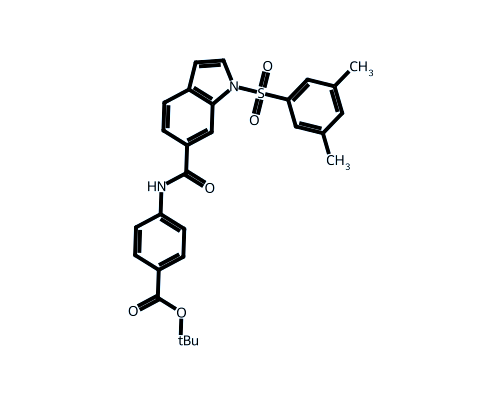 Cc1cc(C)cc(S(=O)(=O)n2ccc3ccc(C(=O)Nc4ccc(C(=O)OC(C)(C)C)cc4)cc32)c1